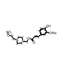 COc1cc(/C=C/C(=O)OCN2CCN(CCO[N+](=O)[O-])CC2)ccc1O